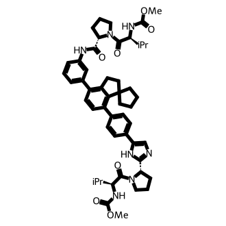 COC(=O)N[C@H](C(=O)N1CCC[C@H]1C(=O)Nc1cccc(-c2ccc(-c3ccc(-c4cnc([C@@H]5CCCN5C(=O)[C@@H](NC(=O)OC)C(C)C)[nH]4)cc3)c3c2CCC32CCCC2)c1)C(C)C